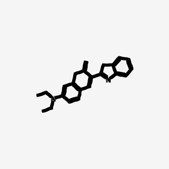 C=C1Cc2cc(N(CC)CC)ccc2C=C1C1=Nc2ccccc2C1